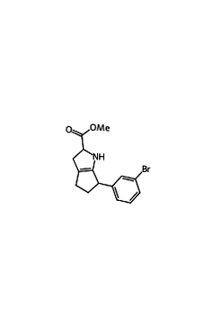 COC(=O)C1CC2=C(N1)C(c1cccc(Br)c1)CC2